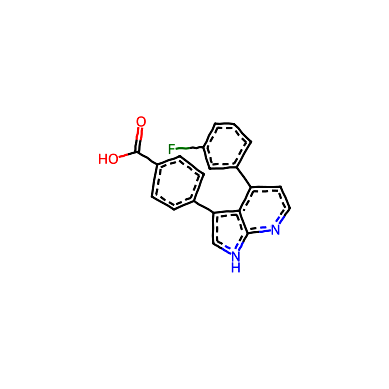 O=C(O)c1ccc(-c2c[nH]c3nccc(-c4cccc(F)c4)c23)cc1